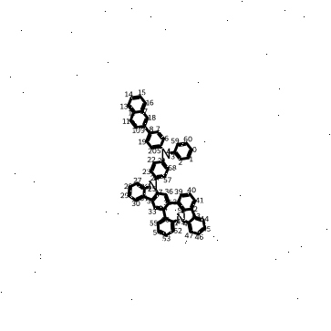 c1ccc(N(c2ccc(-c3ccc4ccccc4c3)cc2)c2ccc(-n3c4ccccc4c4cc5c(cc43)-c3cccc4c6ccccc6n(c34)-c3ccccc3-5)cc2)cc1